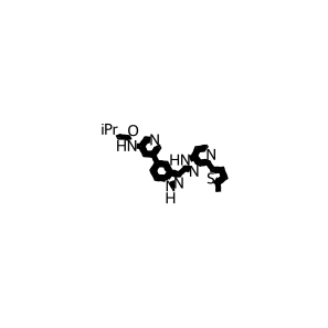 Cc1ccc(-c2nccc3[nH]c(-c4n[nH]c5ccc(-c6cncc(NC(=O)CC(C)C)c6)cc45)nc23)s1